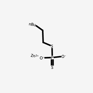 CCCCCCSP([O-])([O-])=S.[Zn+2]